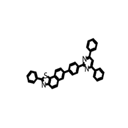 c1ccc(-c2cc(-c3ccccc3)nc(-c3ccc(-c4ccc5c(ccc6nc(-c7ccccc7)sc65)c4)cc3)n2)cc1